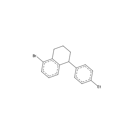 CCc1ccc(C2CCCc3c(Br)cccc32)cc1